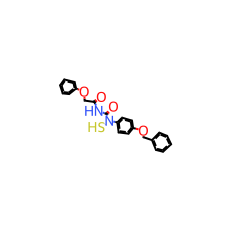 O=C(COc1ccccc1)NC(=O)N(S)c1ccc(OCc2ccccc2)cc1